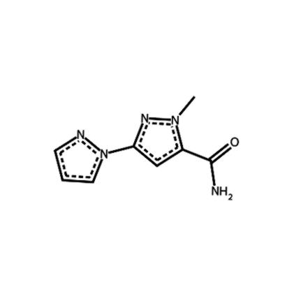 Cn1nc(-n2cccn2)cc1C(N)=O